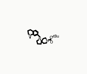 CN1CCCc2ccc(CN3CCCC34CCN(C(=O)OC(C)(C)C)CC4)cc21